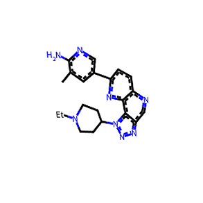 CCN1CCC(n2nnc3cnc4ccc(-c5cnc(N)c(C)c5)nc4c32)CC1